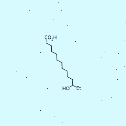 CCC(O)CCCCCCCCCCC(=O)O